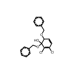 OC1(OCc2ccccc2)C(Cl)=C(Cl)C=CC1OCc1ccccc1